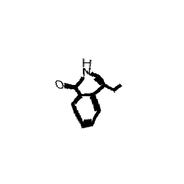 C[CH]c1c[nH]c(=O)c2ccccc12